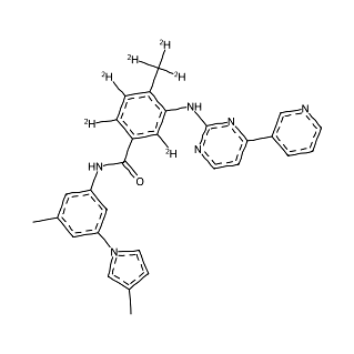 [2H]c1c([2H])c(C([2H])([2H])[2H])c(Nc2nccc(-c3cccnc3)n2)c([2H])c1C(=O)Nc1cc(C)cc(-n2ccc(C)c2)c1